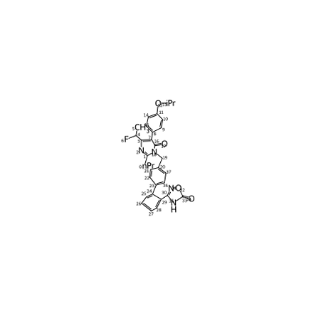 CCCc1nc(C(C)F)c(-c2ccc(OC(C)C)cc2)c(=O)n1Cc1ccc(-c2ccccc2-c2noc(=O)[nH]2)cc1